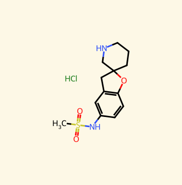 CS(=O)(=O)Nc1ccc2c(c1)CC1(CCCNC1)O2.Cl